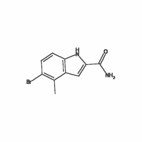 Cc1c(Br)ccc2[nH]c(C(N)=O)cc12